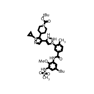 COc1c(NC(=O)c2ccc(C)c(N3C=C(c4cnn(C5CC5)c4C4CCN(C(=O)OC(C)(C)C)CC4)NN3)c2)cc(C(C)(C)C)cc1NS(C)(=O)=O